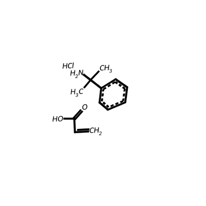 C=CC(=O)O.CC(C)(N)c1ccccc1.Cl